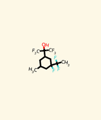 CC1CC(C(O)(C(F)(F)F)C(F)(F)F)CC(F)(C(C)(F)F)C1